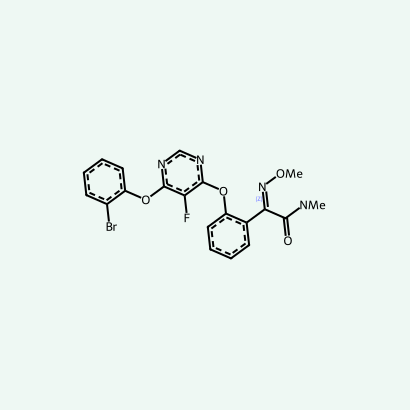 CNC(=O)/C(=N\OC)c1ccccc1Oc1ncnc(Oc2ccccc2Br)c1F